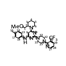 COCC1CCCCN1c1cc(Nc2ccc(C)cc2)nc(N2CCN(c3ncccc3C(F)(F)F)CC2)n1